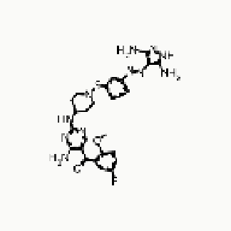 COc1ccc(F)cc1C(=O)c1cnc(NC2CCN(Sc3cccc(/N=N/c4c(N)n[nH]c4N)c3)CC2)nc1N